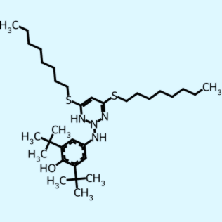 CCCCCCCCSC1=CC(SCCCCCCCC)=NN(Nc2cc(C(C)(C)C)c(O)c(C(C)(C)C)c2)N1